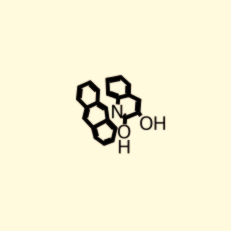 Oc1cc2ccccc2nc1O.c1ccc2cc3ccccc3cc2c1